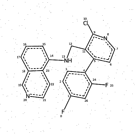 Fc1ccc(-c2ccnc(Cl)c2CNc2cccc3cnccc23)c(F)c1